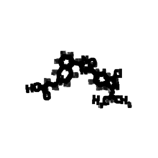 CC(C)n1nc(Cl)c2cc(-c3nc(-c4cccc5c4CCN(CCC(=O)O)C5)no3)ccc21